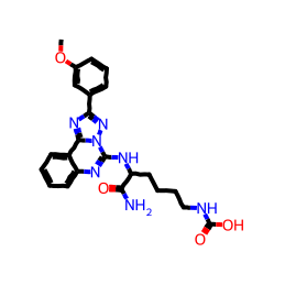 COc1cccc(-c2nc3c4ccccc4nc(NC(CCCCNC(=O)O)C(N)=O)n3n2)c1